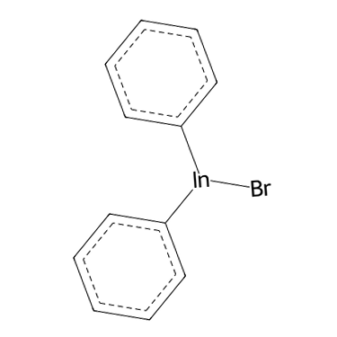 [Br][In]([c]1ccccc1)[c]1ccccc1